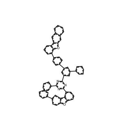 c1ccc(-c2cc(-c3ccc(-c4cccc5c4oc4cc6ccccc6cc45)cc3)cc(-c3nc(-c4ccccc4)nc(-c4cccc5oc6ccc(-c7ccccc7)cc6c45)n3)c2)cc1